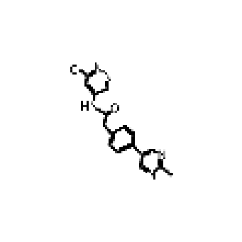 Cc1ncc(-c2ccc(CC(=O)Nc3cnnc(Cl)c3)cc2)cn1